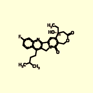 CC[C@@]1(O)CC(=O)OCc2c1cc1n(c2=O)Cc2c-1nc1cc(F)ccc1c2CCC(C)C